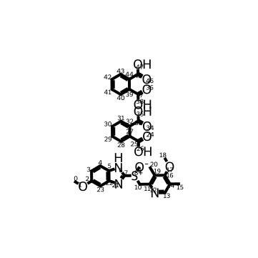 COc1ccc2[nH]c([S+]([O-])Cc3ncc(C)c(OC)c3C)nc2c1.O=C(O)c1ccccc1C(=O)O.O=C(O)c1ccccc1C(=O)O